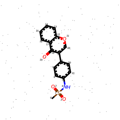 CS(=O)(=O)Nc1ccc(-c2coc3c[c]ccc3c2=O)cc1